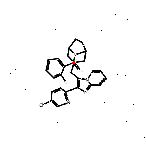 O=C(c1ccccc1F)N1C2CCC1CN(Cc1c(-c3ccc(Cl)cn3)nc3ccccn13)C2